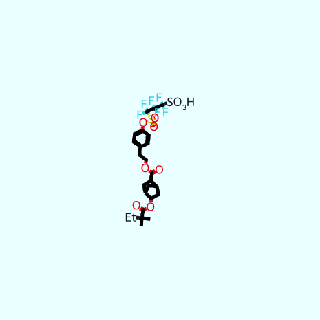 CCC(C)(C)C(=O)OC1CC2CC1CC2C(=O)OCCc1ccc(OS(=O)(=O)C(F)(F)C(F)(F)C(F)(F)S(=O)(=O)O)cc1